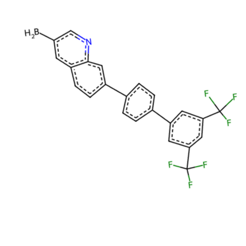 Bc1cnc2cc(-c3ccc(-c4cc(C(F)(F)F)cc(C(F)(F)F)c4)cc3)ccc2c1